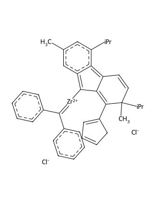 Cc1cc(C(C)C)c2c(c1)=[C]([Zr+2]=[C](c1ccccc1)c1ccccc1)C1=C(C3=CC=CC3)C(C)(C(C)C)C=CC=21.[Cl-].[Cl-]